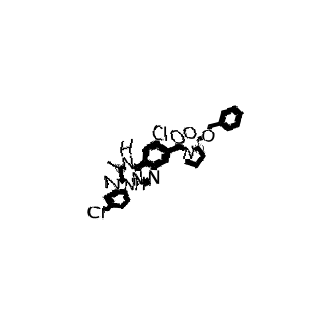 C[C@@H](Nc1ncnc2cc(C(=O)N3CCC[C@H]3C(=O)OCc3ccccc3)c(Cl)cc12)c1nc2cc(Cl)ccc2[nH]1